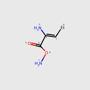 CCC=C(N)C(=O)ON